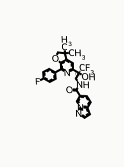 CC1(C)COc2c1cc([C@@](O)(CNC(=O)c1ccc3ccnn3c1)C(F)(F)F)nc2-c1ccc(F)cc1